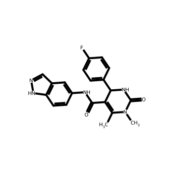 CC1=C(C(=O)Nc2ccc3[nH]ncc3c2)C(c2ccc(F)cc2)NC(=O)N1C